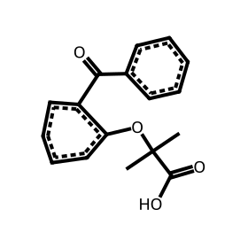 CC(C)(Oc1ccccc1C(=O)c1ccccc1)C(=O)O